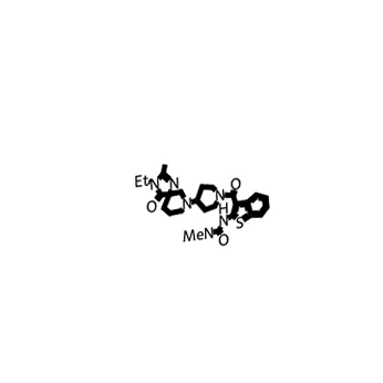 CCN1C(=O)C2(CCCN(C3CCN(C(=O)c4c(NC(=O)NC)sc5ccccc45)CC3)C2)N=C1C